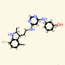 Cc1ccc(F)c2c1C(CCNc1cc(Nc3cccc(O)c3)ncn1)C(C)N2